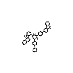 c1ccc(-c2ccc(-c3nc(-c4ccc(-c5ccc6sc7ccccc7c6c5)cc4)nc(-c4cccc5oc6c7ccccc7ccc6c45)n3)cc2)cc1